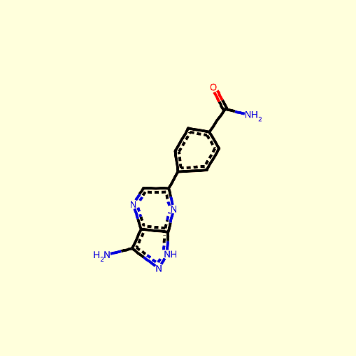 NC(=O)c1ccc(-c2cnc3c(N)n[nH]c3n2)cc1